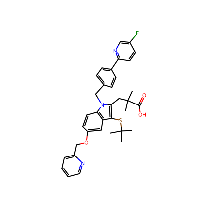 CC(C)(C)Sc1c(CC(C)(C)C(=O)O)n(Cc2ccc(-c3ccc(F)cn3)cc2)c2ccc(OCc3ccccn3)cc12